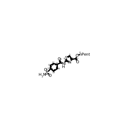 CCCCCOC(=O)c1csc(NC(=O)c2ccc(S(N)(=O)=O)cc2)n1